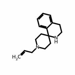 C=CCN1CCC2(CC1)NCCc1ccccc12